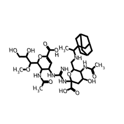 COC(C(O)CO)C1OC(C(=O)O)=CC(NC(=N)NC2(C(=O)O)CC(O)C(NC(C)=O)C(CNC(C)C34CC5CC(CC(C5)C3)C4)O2)C1NC(C)=O